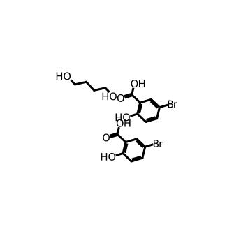 O=C(O)c1cc(Br)ccc1O.O=C(O)c1cc(Br)ccc1O.OCCCCO